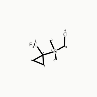 C[Si](C)(CCl)C1(C(F)(F)F)CC1